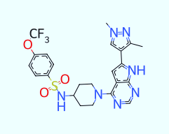 Cc1nn(C)cc1-c1cc2c(N3CCC(NS(=O)(=O)c4ccc(OC(F)(F)F)cc4)CC3)ncnc2[nH]1